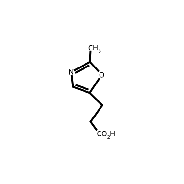 Cc1ncc(CCC(=O)O)o1